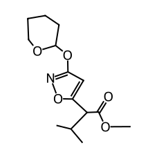 COC(=O)C(c1cc(OC2CCCCO2)no1)C(C)C